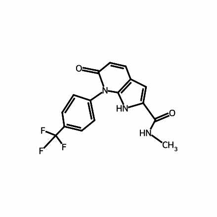 CNC(=O)c1cc2ccc(=O)n(-c3ccc(C(F)(F)F)cc3)c2[nH]1